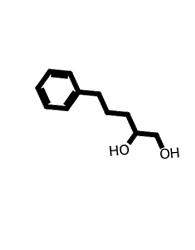 OCC(O)CCCc1ccccc1